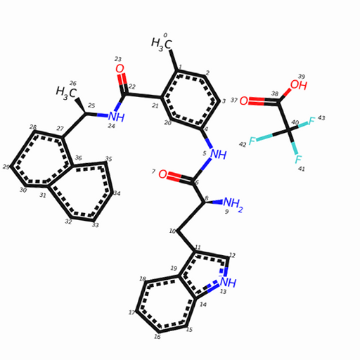 Cc1ccc(NC(=O)[C@@H](N)Cc2c[nH]c3ccccc23)cc1C(=O)N[C@H](C)c1cccc2ccccc12.O=C(O)C(F)(F)F